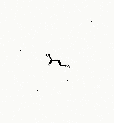 N/C=C/C(N)=S